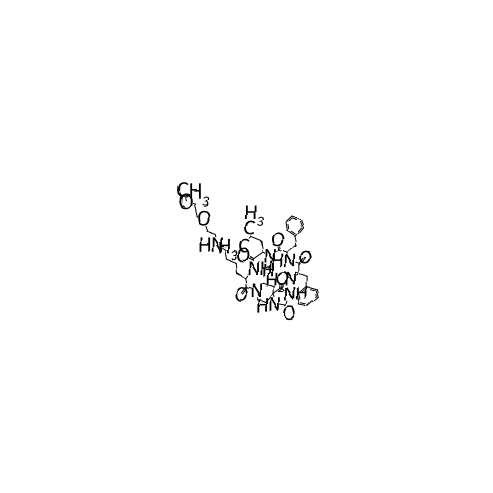 COCCOCCNCCCC[C@@H](NC(=O)[C@@H](CC(C)C)NC(=O)[C@@H](Cc1ccccc1)NC(=O)[C@H](N)Cc1ccccc1)C(=O)N1CCC2(CC1)NC(=O)NC2=O